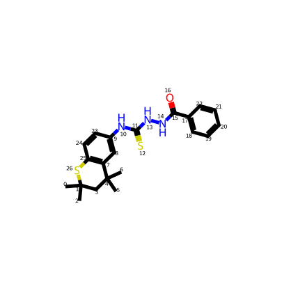 CC1(C)CC(C)(C)c2cc(NC(=S)NNC(=O)c3ccccc3)ccc2S1